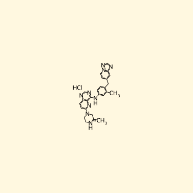 Cc1cc(Nc2ncnc3ccc(N4CCN[C@H](C)C4)nc23)ccc1Cc1ccn2ncnc2c1.Cl